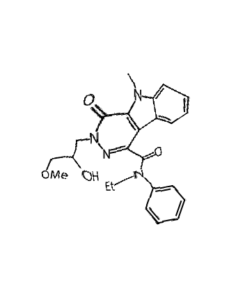 CCN(C(=O)c1nn(CC(O)COC)c(=O)c2c1c1ccccc1n2C)c1ccccc1